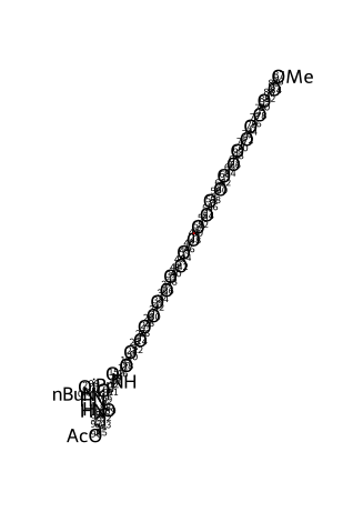 CCCCC(=O)N[C@H](C(=O)N[C@@H](CCCCNC(=O)CCOCCOCCOCCOCCOCCOCCOCCOCCOCCOCCOCCOCCOCCOCCOCCOCCOCCOCCOCCOCCOCCOCCOCCOC)C(=O)Nc1ccc(COC(C)=O)cc1)C(C)C